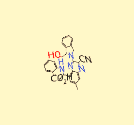 Cc1cc([C@@H](C)Nc2ccccc2C(=O)O)c2nc(N3Cc4ccccc4C3CO)c(C#N)nc2c1